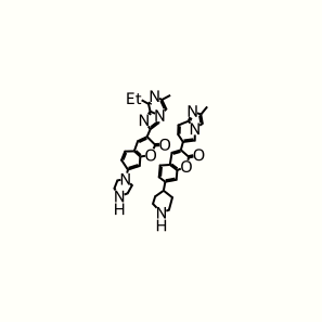 CCc1nc(C)cn2cc(-c3cc4ccc(N5CCNCC5)cc4oc3=O)nc12.Cc1cn2cc(-c3cc4ccc(C5CCNCC5)cc4oc3=O)ccc2n1